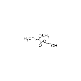 CCC=C(OC)C(=O)OCCO